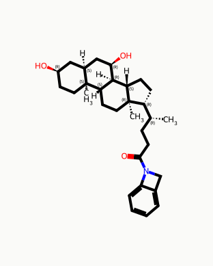 C[C@H](CCC(=O)N1Cc2ccccc21)[C@H]1CC[C@H]2[C@@H]3[C@H](O)C[C@@H]4C[C@H](O)CC[C@]4(C)[C@H]3CC[C@]12C